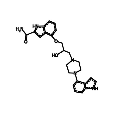 NC(=O)c1cc2c(OCC(O)CN3CCN(c4cccc5[nH]ccc45)CC3)cccc2[nH]1